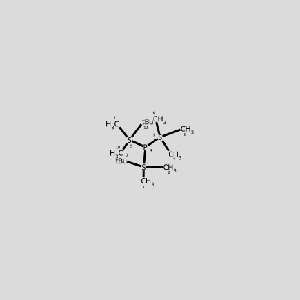 CC(C)(C)S(C)(C)P(S(C)(C)C)S(C)(C)C(C)(C)C